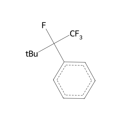 CC(C)(C)C(F)(c1ccccc1)C(F)(F)F